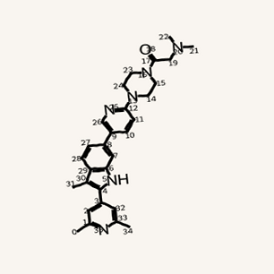 Cc1cc(-c2[nH]c3cc(-c4ccc(N5CCN(C(=O)CN(C)C)CC5)nc4)ccc3c2C)cc(C)n1